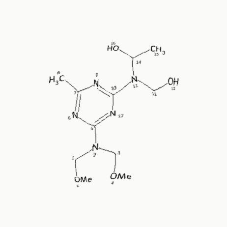 COCN(COC)c1nc(C)nc(N(CO)C(C)O)n1